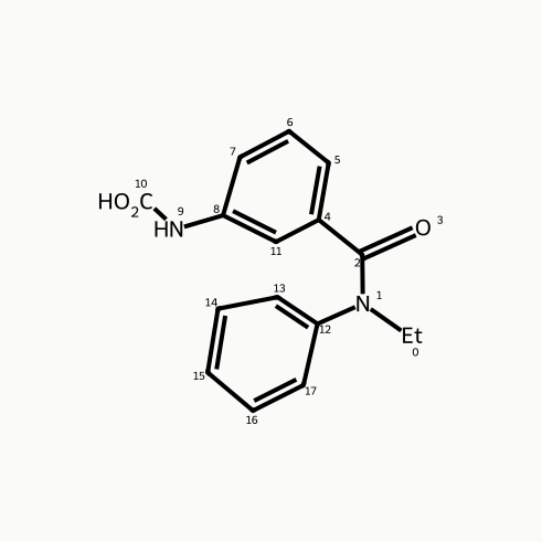 CCN(C(=O)c1cccc(NC(=O)O)c1)c1ccccc1